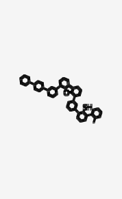 Cc1ccccc1-c1cccc(-c2cccc(-c3cccc4c3oc3c(-c5cccc(-c6ccc(-c7ccccc7)cc6)c5)cccc34)c2)c1S